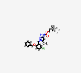 Cc1cc(NC(=O)OCC[Si](C)(C)C)nn1Cc1cc(Cl)ccc1OCc1ccccc1